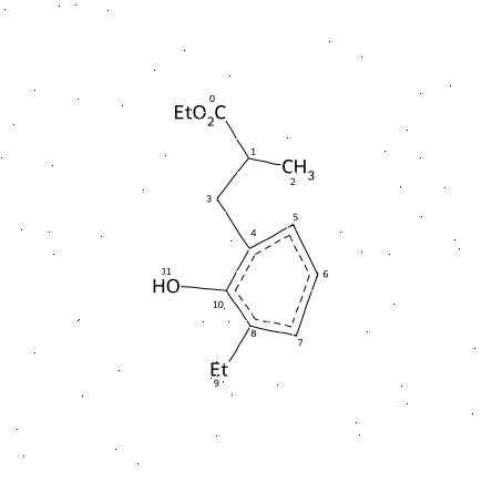 CCOC(=O)C(C)Cc1cccc(CC)c1O